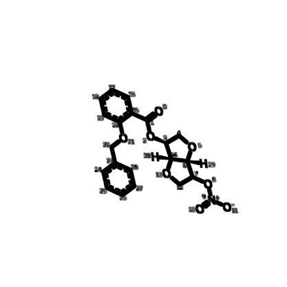 O=C(O[C@H]1CO[C@@H]2C(O[N+](=O)[O-])CO[C@H]12)c1ccccc1OCc1ccccc1